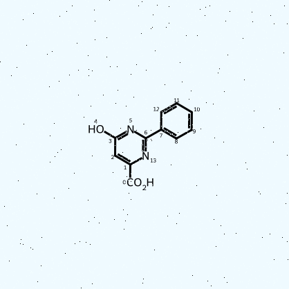 O=C(O)c1cc(O)nc(-c2ccccc2)n1